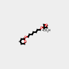 O=C(O)C1(OCCCCCCCOC2CCCCO2)COC1